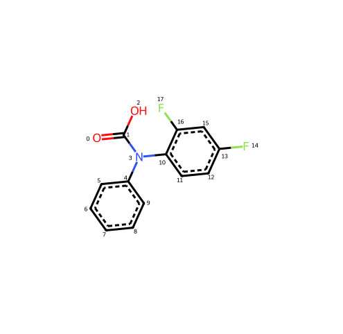 O=C(O)N(c1ccccc1)c1ccc(F)cc1F